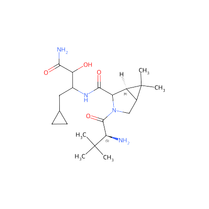 CC(C)(C)[C@H](N)C(=O)N1CC2[C@@H](C1C(=O)NC(CC1CC1)C(O)C(N)=O)C2(C)C